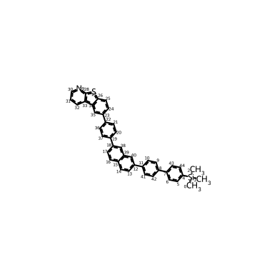 C[Si](C)(C)c1ccc(-c2ccc(-c3ccc4ccc(-c5ccc(-c6ccc7sc8ncccc8c7c6)cc5)cc4c3)cc2)cc1